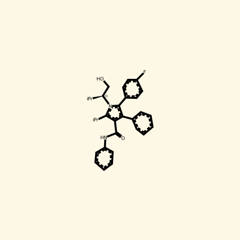 CC(C)c1c(C(=O)Nc2ccccc2)c(-c2ccccc2)c(-c2ccc(F)cc2)n1[C@H](CO)C(C)C